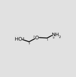 NCOCO